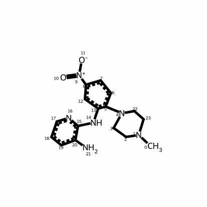 CN1CCN(c2ccc([N+](=O)[O-])cc2Nc2ncccc2N)CC1